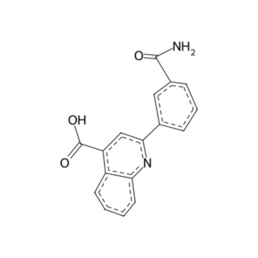 NC(=O)c1cccc(-c2cc(C(=O)O)c3ccccc3n2)c1